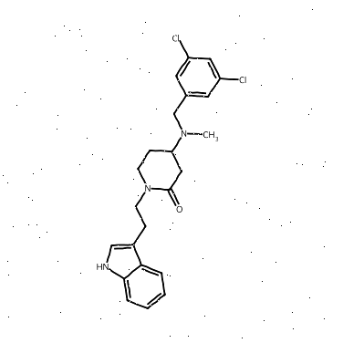 CN(Cc1cc(Cl)cc(Cl)c1)C1CCN(CCc2c[nH]c3ccccc23)C(=O)C1